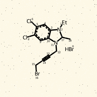 Br.CCN1c2cc(Cl)c(Cl)cc2N(CC#CCBr)C1C